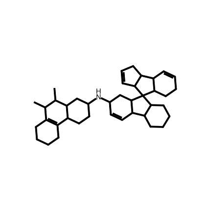 CC1C2=C(CCCC2)C2CCC(NC3C=CC4C5CCCCC5C5(C6C=CCC6C6C=CCCC65)C4C3)CC2C1C